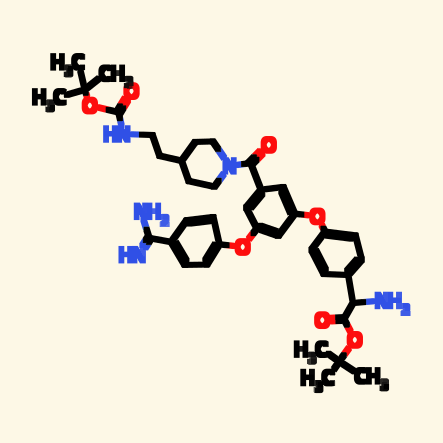 CC(C)(C)OC(=O)NCCC1CCN(C(=O)c2cc(Oc3ccc(C(=N)N)cc3)cc(Oc3ccc(C(N)C(=O)OC(C)(C)C)cc3)c2)CC1